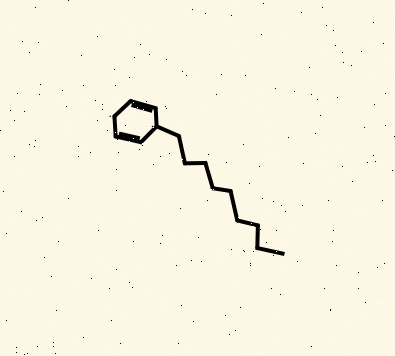 CCCCCCCCC[C]1C=C[CH]C=C1